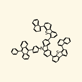 c1ccc(-c2c3ccccc3c(-c3ccc(-n4c5ccc(-c6cccc7c6sc6c(-c8cccc9ccccc89)cccc67)cc5c5cc(-c6cccc7c6sc6c(-c8cccc9ccccc89)cccc67)ccc54)cc3)c3ccccc23)cc1